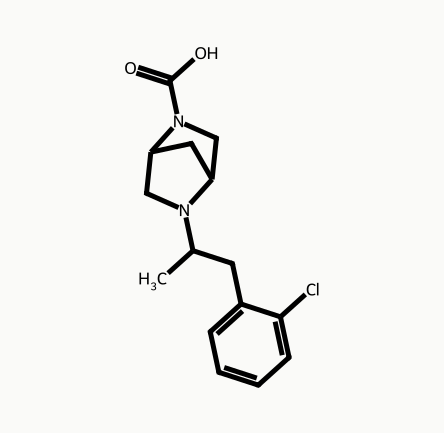 CC(Cc1ccccc1Cl)N1CC2CC1CN2C(=O)O